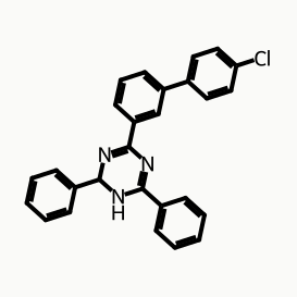 Clc1ccc(-c2cccc(C3=NC(c4ccccc4)NC(c4ccccc4)=N3)c2)cc1